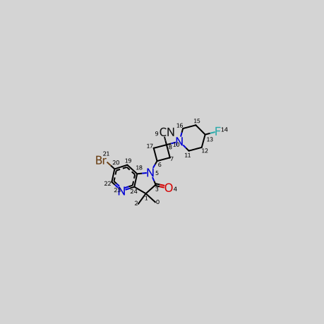 CC1(C)C(=O)N(C2CC(C#N)(N3CCC(F)CC3)C2)c2cc(Br)cnc21